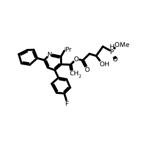 C=C(OC(=O)CC(O)C[PH](=O)OC)c1c(-c2ccc(F)cc2)cc(-c2ccccc2)nc1C(C)C